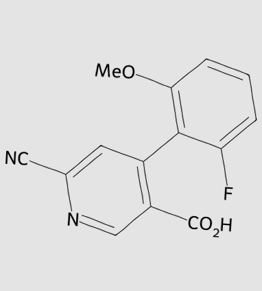 COc1cccc(F)c1-c1cc(C#N)ncc1C(=O)O